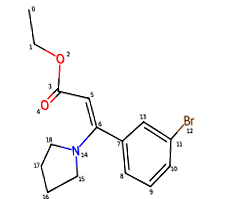 CCOC(=O)/C=C(/c1cccc(Br)c1)N1CCCC1